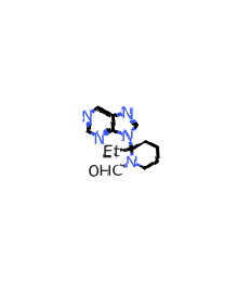 CCC1(n2cnc3cncnc32)CCCCN1C=O